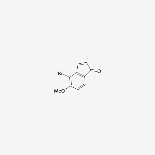 COc1ccc2c(c1Br)C=CC2=O